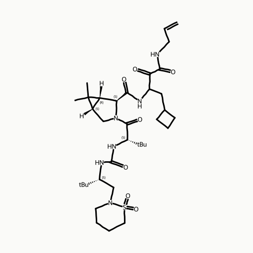 C=CCNC(=O)C(=O)C(CC1CCC1)NC(=O)[C@@H]1[C@@H]2[C@H](CN1C(=O)[C@@H](NC(=O)N[C@H](CN1CCCCS1(=O)=O)C(C)(C)C)C(C)(C)C)C2(C)C